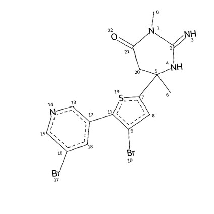 CN1C(=N)NC(C)(c2cc(Br)c(-c3cncc(Br)c3)s2)CC1=O